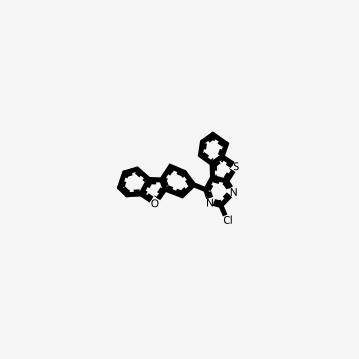 Clc1nc(-c2ccc3c(c2)oc2ccccc23)c2c(n1)sc1ccccc12